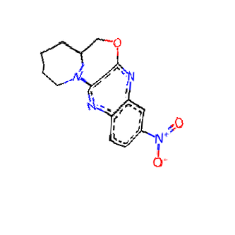 O=[N+]([O-])c1ccc2nc3c(nc2c1)OCC1CCCCN31